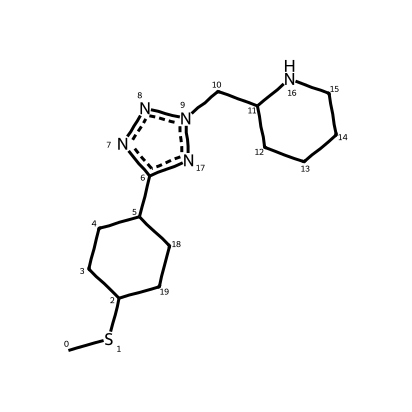 CSC1CCC(c2nnn(CC3CCCCN3)n2)CC1